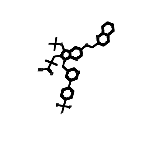 CC(C)(C)Sc1c(CC(C)(C)C(=O)O)n(Cc2cncc(-c3ccc(C(F)(F)F)cc3)c2)c2ncc(OCc3ccc4ccccc4n3)cc12